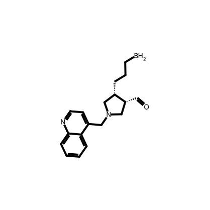 BCCC[C@H]1CN(Cc2ccnc3ccccc23)C[C@H]1C=O